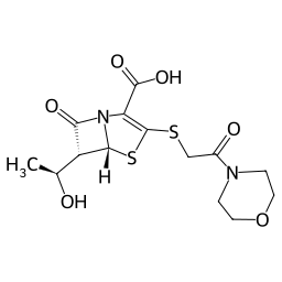 C[C@H](O)[C@@H]1C(=O)N2C(C(=O)O)=C(SCC(=O)N3CCOCC3)S[C@H]12